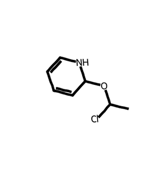 CC(Cl)OC1C=CC=CN1